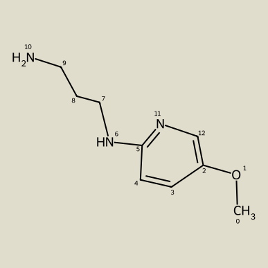 COc1ccc(NCCCN)nc1